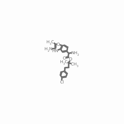 CC1=C(N)Nc2cc(C(N)C(=O)OC(C)(C)CCc3ccc(Cl)cc3)ccc2O1